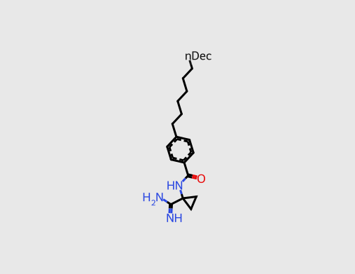 CCCCCCCCCCCCCCCCc1ccc(C(=O)NC2(C(=N)N)CC2)cc1